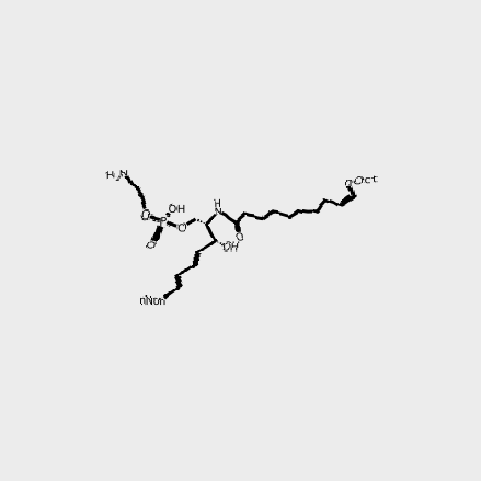 CCCCCCCC/C=C\CCCCCCCC(=O)N[C@@H](COP(=O)(O)OCCN)[C@H](O)/C=C/C=C/CCCCCCCCC